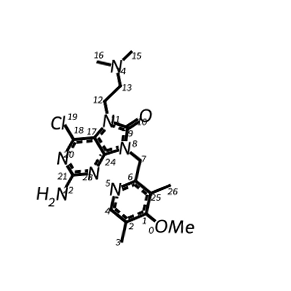 COc1c(C)cnc(Cn2c(=O)n(CCN(C)C)c3c(Cl)nc(N)nc32)c1C